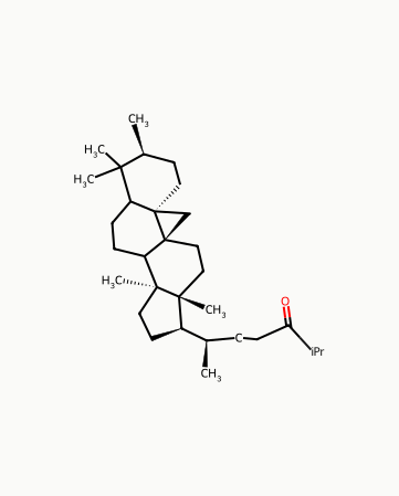 CC(C)C(=O)CC[C@@H](C)[C@H]1CC[C@@]2(C)C3CCC4C(C)(C)[C@@H](C)CC[C@@]45C[C@@]35CC[C@]12C